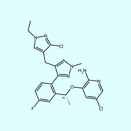 CCn1cc(Cc2cn(C)nc2-c2ccc(F)cc2[C@@H](C)Oc2cc(Cl)cnc2N)c(Cl)n1